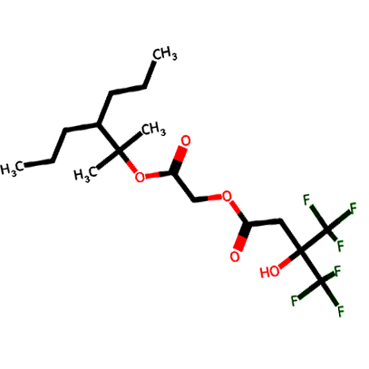 CCCC(CCC)C(C)(C)OC(=O)COC(=O)CC(O)(C(F)(F)F)C(F)(F)F